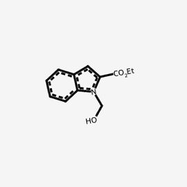 CCOC(=O)c1cc2ccccc2n1CO